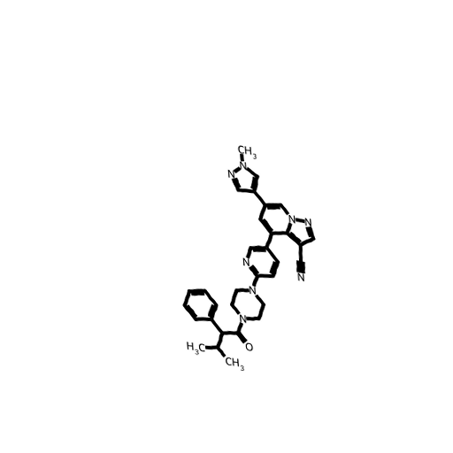 CC(C)C(C(=O)N1CCN(c2ccc(-c3cc(-c4cnn(C)c4)cn4ncc(C#N)c34)cn2)CC1)c1ccccc1